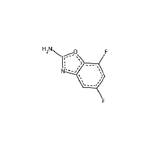 Nc1nc2cc(F)cc(F)c2o1